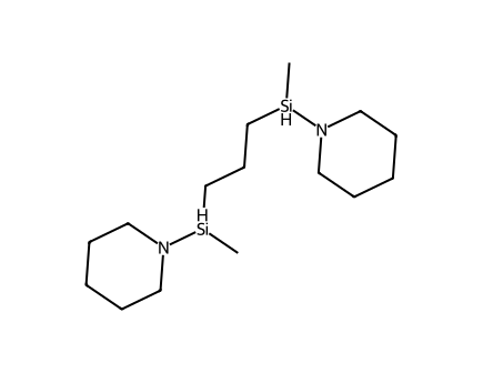 C[SiH](CCC[SiH](C)N1CCCCC1)N1CCCCC1